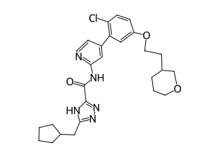 O=C(Nc1cc(-c2cc(OCCC3CCCOC3)ccc2Cl)ccn1)c1nnc(CC2CCCC2)[nH]1